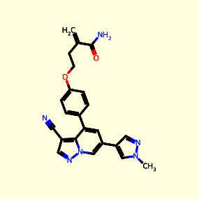 C=C(CCOc1ccc(-c2cc(-c3cnn(C)c3)cn3ncc(C#N)c23)cc1)C(N)=O